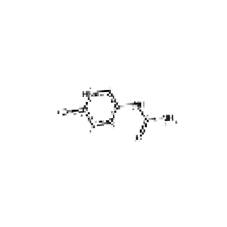 NC(=O)Nc1[c]nc(=O)[nH]c1